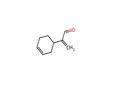 C=C(C=O)C1CC=CCC1